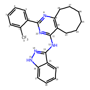 FC(F)(F)c1ccccc1-c1nc2c(c(Nc3n[nH]c4ccccc34)n1)CCCCCC2